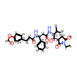 CCN1C(=O)[C@@H](C(=O)[C@@H](NC(=O)C[C@H](NC(=O)/C=C/c2ccc3c(c2)OCO3)c2ccccc2)C(C)C)[C@H](C)C1=O